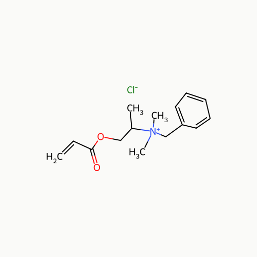 C=CC(=O)OCC(C)[N+](C)(C)Cc1ccccc1.[Cl-]